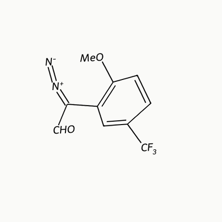 COc1ccc(C(F)(F)F)cc1C(C=O)=[N+]=[N-]